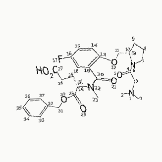 CN(C)CC(=O)N1CCC[C@H]1COc1ccc(F)cc1C(=O)N(C)[C@@H](CCC(=O)O)C(=O)OCc1ccccc1